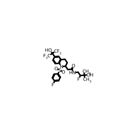 CC(C)(O)C(F)CNC(=O)CC1CCc2cc(C(O)(C(F)(F)F)C(F)(F)F)ccc2N1S(=O)(=O)c1ccc(F)cc1